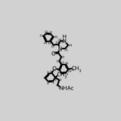 CC(=O)NCCC1(C)C=CC=CC1Oc1ccc(C)cc1CCC(=O)N1CCNCC1Cc1ccccc1